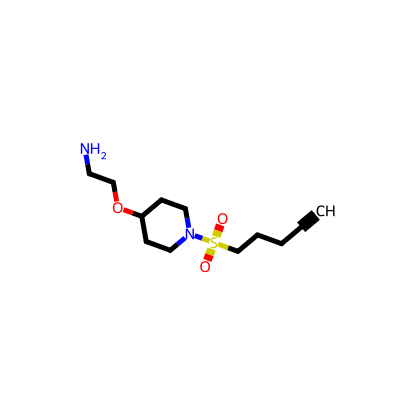 C#CCCCS(=O)(=O)N1CCC(OCCN)CC1